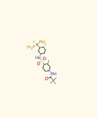 Cc1cc(NC(=O)C(C)(C)C)ccc1S(=O)(=O)Nc1cccc(C(F)(P)P)c1